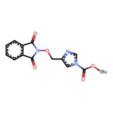 CC(C)(C)OC(=O)n1cnc(CON2C(=O)c3ccccc3C2=O)c1